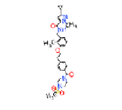 Cc1c(CNC(=O)c2cc(C3CC3)nn2C)cccc1OCCc1ccc(C(=O)N2CCN(S(C)(=O)=O)CC2)cc1